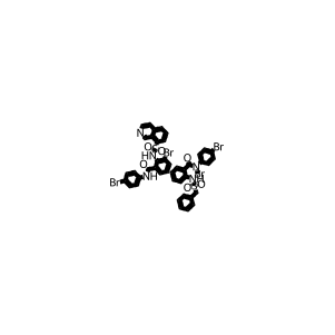 O=C(Nc1ccc(Br)cc1)c1cccc(Br)c1NS(=O)(=O)c1cccc2ccncc12.O=C(c1ccccc1NS(=O)(=O)Cc1ccccc1)N(Br)c1ccc(Br)cc1